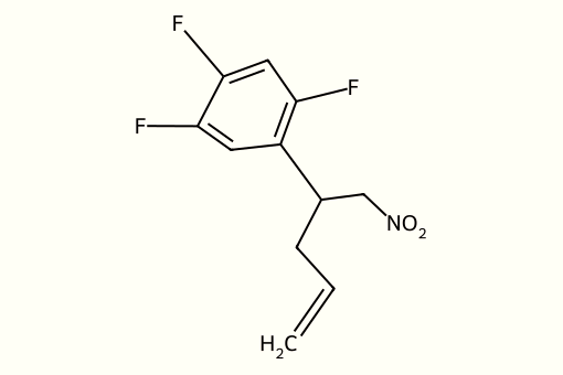 C=CCC(C[N+](=O)[O-])c1cc(F)c(F)cc1F